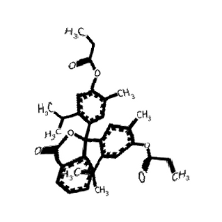 CCC(=O)Oc1cc(C(C)C)c(C2(c3cc(C)c(OC(=O)CC)cc3C(C)C)OC(=O)c3ccccc32)cc1C